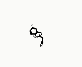 N#CCc1nc2cc(F)ccc2[nH]1